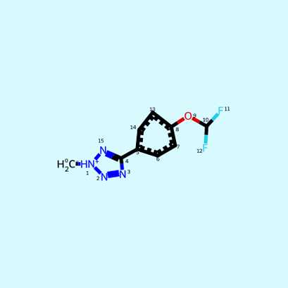 [CH2-][NH+]1N=NC(c2ccc(OC(F)F)cc2)=N1